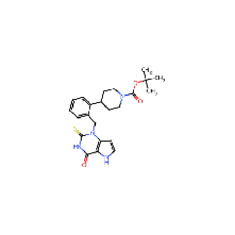 CC(C)(C)OC(=O)N1CCC(c2ccccc2Cn2c(=S)[nH]c(=O)c3[nH]ccc32)CC1